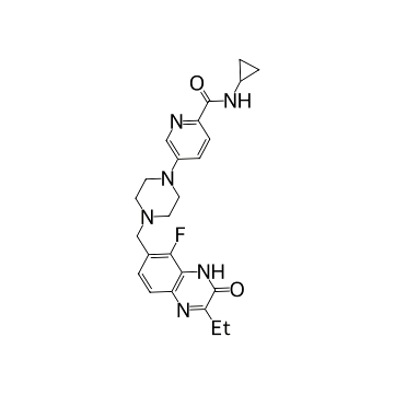 CCc1nc2ccc(CN3CCN(c4ccc(C(=O)NC5CC5)nc4)CC3)c(F)c2[nH]c1=O